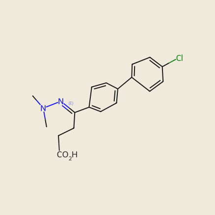 CN(C)/N=C(\CCC(=O)O)c1ccc(-c2ccc(Cl)cc2)cc1